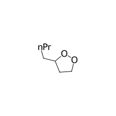 [CH2]CCCC1CCOO1